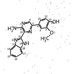 COc1cc(-c2cnc(N)c(-c3nc4ccccc4[nH]3)n2)ccc1O